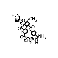 C=Cc1cc(C(=O)Nc2ccc(C(=N)N)cc2)c(-c2ccc(C(=O)N(C)CC(C)CC)nc2C(=O)OCOC(=O)CN)cc1OC